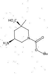 CC(C)(C)OC(=O)N1C[C@@H](N)C[C@@](C)(C(=O)O)C1